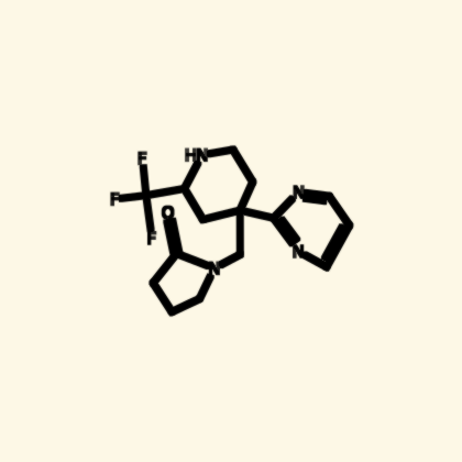 O=C1CCCN1CC1(c2ncccn2)CCNC(C(F)(F)F)C1